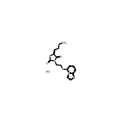 CCCC=C1SC(=O)N(CCSc2cccc3nccn23)C1=O.Cl